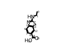 CCNc1nc2ccc(C(=O)O)cc2s1